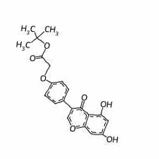 CC(C)(C)OC(=O)COc1ccc(-c2coc3cc(O)cc(O)c3c2=O)cc1